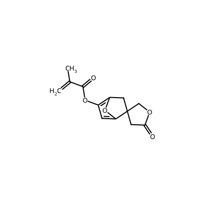 C=C(C)C(=O)Oc1cc2oc1CC21COC(=O)C1